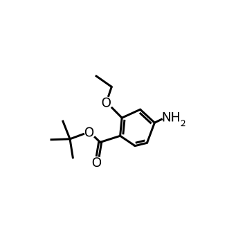 CCOc1cc(N)ccc1C(=O)OC(C)(C)C